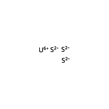 [S-2].[S-2].[S-2].[U+6]